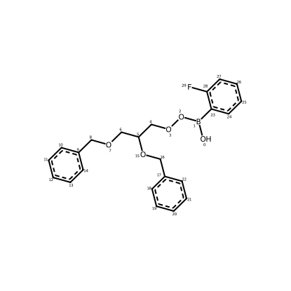 OB(OOCC(COCc1ccccc1)OCc1ccccc1)c1ccccc1F